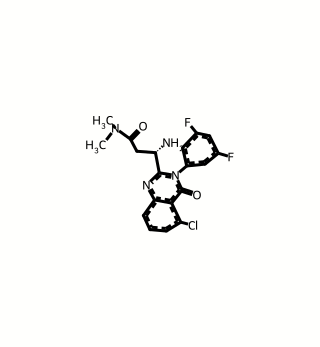 CN(C)C(=O)C[C@H](N)c1nc2cccc(Cl)c2c(=O)n1-c1cc(F)cc(F)c1